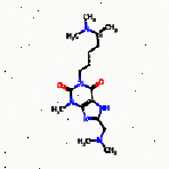 C[C@@H](CCCCn1c(=O)c2[nH]c(CN(C)C)nc2n(C)c1=O)N(C)C